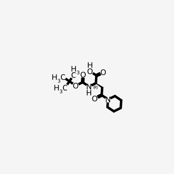 CC(C)(C)OC(=O)N[C@H](CC(=O)N1CCCCC1)C(=O)O